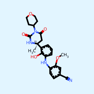 COc1cc(C#N)ccc1Nc1cccc([C@]2(C)CC(=O)N(C3CCOCC3)C(=O)N2)c1O